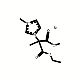 CCOC(=O)C(C)(C(=O)OC)n1cc[n+](C)c1.[Br-]